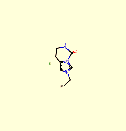 CC(C)C[n+]1cc2n(c1)C(=O)NCC2.[Br-]